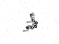 COCC1(NCc2ncc(-c3cccc(-c4cccc(-c5cnc(CNCC6CCC(=O)N6)c(OC)n5)c4Cl)c3Cl)nc2OC)CCC1